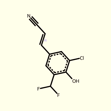 N#C/C=C/c1cc(Cl)c(O)c(C(F)F)c1